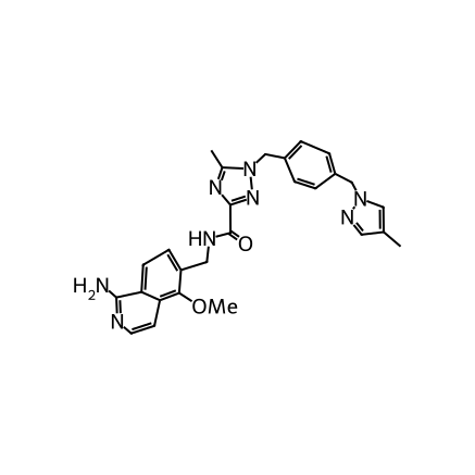 COc1c(CNC(=O)c2nc(C)n(Cc3ccc(Cn4cc(C)cn4)cc3)n2)ccc2c(N)nccc12